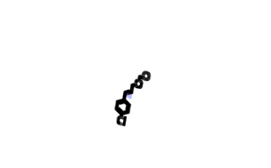 O=COC/C=C/c1ccc(Cl)cc1